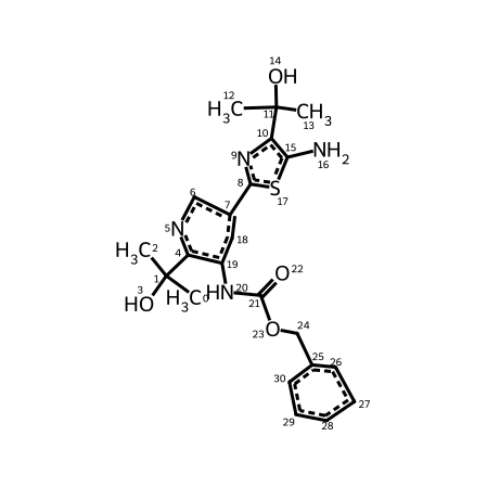 CC(C)(O)c1ncc(-c2nc(C(C)(C)O)c(N)s2)cc1NC(=O)OCc1ccccc1